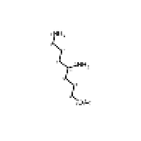 CC(=O)OCCCC(N)CCCN